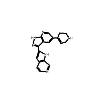 C1=C(c2cnc3[nH]nc(-c4cc5ccncc5[nH]4)c3c2)CCNC1